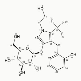 OCCn1nc(O[C@@H]2O[C@H](CO)[C@@H](O)[C@H](O)[C@H]2O)c(Cc2ccccc2O)c1C(F)(F)F